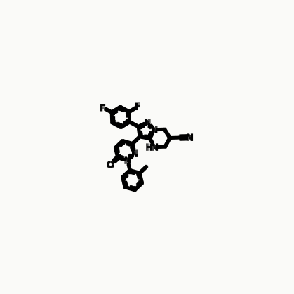 Cc1ccccc1-n1nc(-c2c(-c3ccc(F)cc3F)nn3c2NCC(C#N)C3)ccc1=O